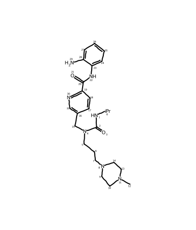 CC(C)NC(=O)N(CCCN1CCN(C)CC1)Cc1ccc(C(=O)Nc2ccccc2N)nc1